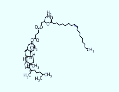 CCCCCCCC/C=C\CCCCCCCC(=O)OC(CN)COC(=O)CCC(=O)O[C@H]1CC[C@@]2(C)C(=CC[C@H]3[C@@H]4CC[C@H]([C@H](C)CCCC(C)C)[C@@]4(C)CC[C@@H]32)C1